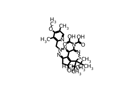 COc1c(C)cnc(CN2N=C3CC(O)C4=C3C(=N2)C(N(C(=O)O)C(=O)O)=NSC4(C(C)(C)C)C(C)(C)C)c1C